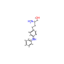 NC(CO)CCc1ccc(Nc2ccccc2)cc1